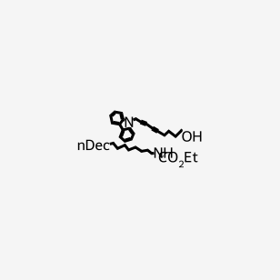 CCCCCCCCCCCCCCCCCCNC(=O)OCC.OCCCCC#CC#CCn1c2ccccc2c2ccccc21